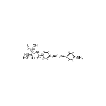 Nc1ccc(C#CC#Cc2ccc(C(=O)N[C@H](C(=O)NO)[C@H](O)CF)cc2)cc1